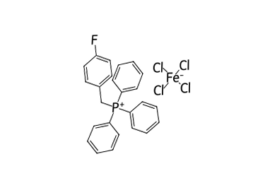 Fc1ccc(C[P+](c2ccccc2)(c2ccccc2)c2ccccc2)cc1.[Cl][Fe-]([Cl])([Cl])[Cl]